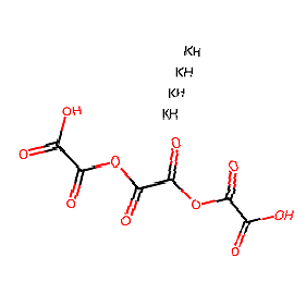 O=C(O)C(=O)OC(=O)C(=O)OC(=O)C(=O)O.[KH].[KH].[KH].[KH]